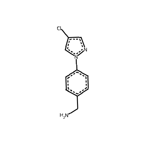 NCc1ccc(-n2cc(Cl)cn2)cc1